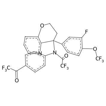 O=C(c1ccc(N(C(=O)C(F)(F)F)C2(c3ccc(OC(F)(F)F)c(F)c3)CCOc3cccnc32)cc1)C(F)(F)F